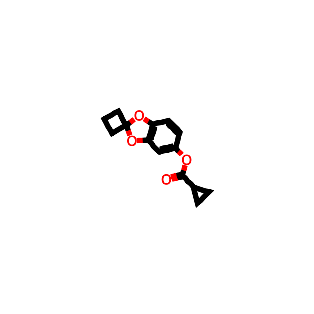 O=C(Oc1ccc2c(c1)OC1(CCC1)O2)C1CC1